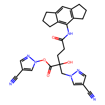 N#Cc1cnn(CC(O)(CCC(=O)Nc2c3c(cc4c2CCC4)CCC3)C(=O)On2cc(C#N)cn2)c1